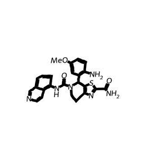 COc1ccc(N)c(C2c3sc(C(N)=O)nc3CCN2C(=O)Nc2cccc3cnccc23)c1